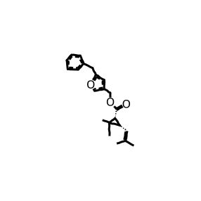 CC(C)=C[C@H]1[C@@H](C(=O)OCc2coc(Cc3ccccc3)c2)C1(C)C